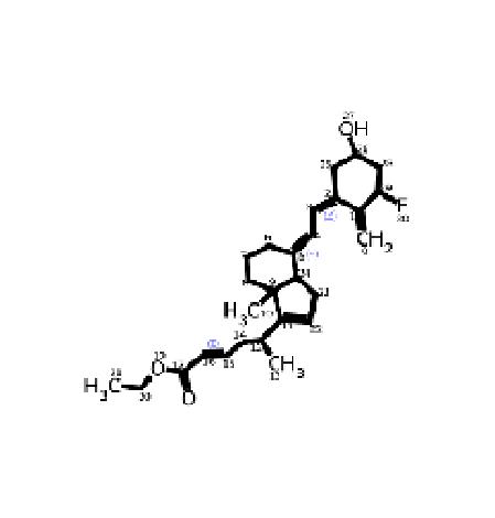 C=C1/C(=C\C=C2/CCCC3(C)C(C(C)C/C=C/C(=O)OCC)=CCC23)CC(O)CC1F